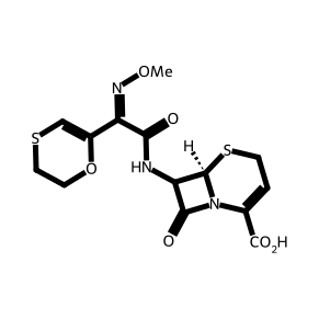 CO/N=C(\C(=O)NC1C(=O)N2C(C(=O)O)=CCS[C@H]12)C1=CSCCO1